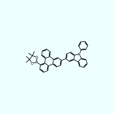 CC1(C)OB(c2cccc3c4ccc(-c5ccc6c(c5)c5ccccc5n6-c5ccccc5)cc4c4ccccc4c23)OC1(C)C